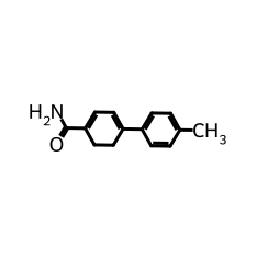 Cc1ccc(C2=CC=C(C(N)=O)CC2)cc1